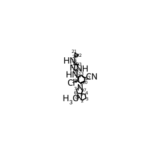 CN1CCCC12CCN(c1cc(C#N)cc(Nc3nc(NC4CC4)c[nH]3)c1Cl)C2